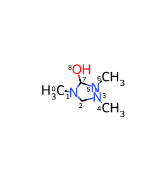 CN1CN(C)N(C)C1O